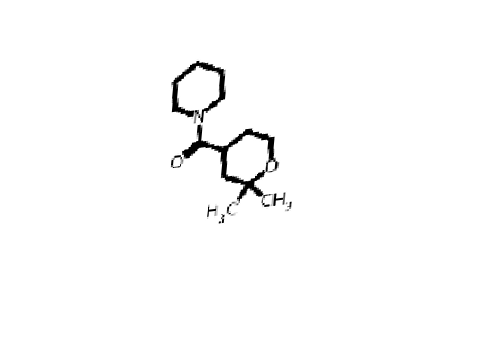 CC1(C)CC(C(=O)N2CCCCC2)CCO1